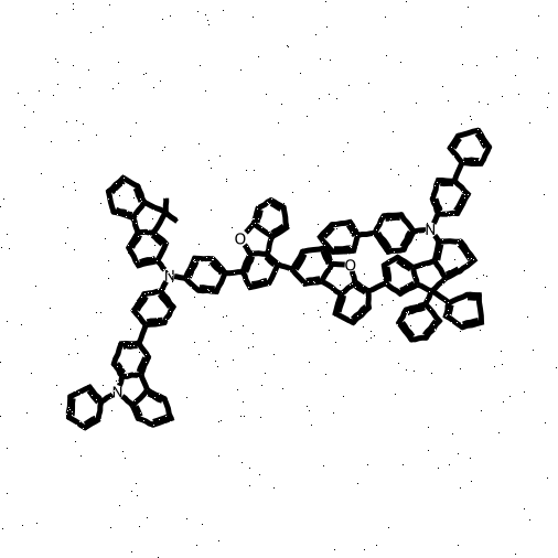 CC1(C)c2ccccc2-c2ccc(N(c3ccc(-c4ccc5c(c4)c4ccccc4n5-c4ccccc4)cc3)c3ccc(-c4ccc(-c5ccc6oc7c(-c8ccc9c(c8)C(c8ccccc8)(c8ccccc8)c8cccc(N(c%10ccc(-c%11ccccc%11)cc%10)c%10ccc(-c%11ccccc%11)cc%10)c8-9)cccc7c6c5)c5c4oc4ccccc45)cc3)cc21